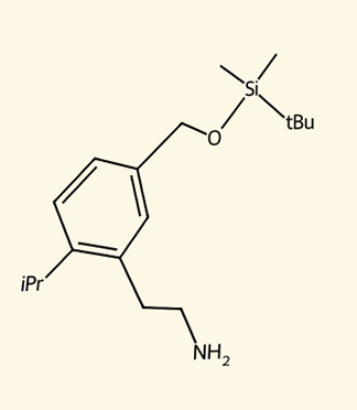 CC(C)c1ccc(CO[Si](C)(C)C(C)(C)C)cc1CCN